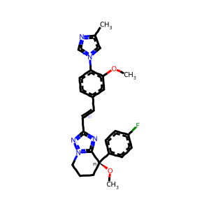 COc1cc(/C=C/c2nc3n(n2)CCC[C@@]3(OC)c2ccc(F)cc2)ccc1-n1cnc(C)c1